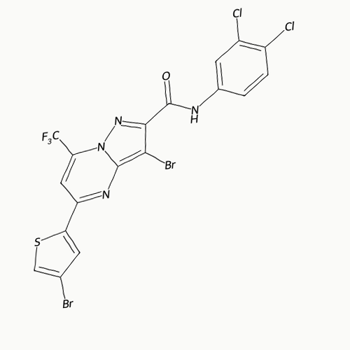 O=C(Nc1ccc(Cl)c(Cl)c1)c1nn2c(C(F)(F)F)cc(-c3cc(Br)cs3)nc2c1Br